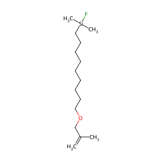 C=C(C)COCCCCCCCCC[Si](C)(C)F